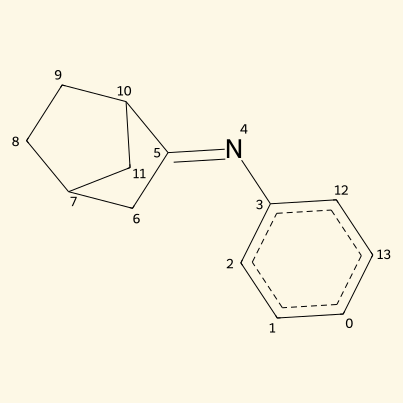 c1ccc(N=C2CC3CCC2C3)cc1